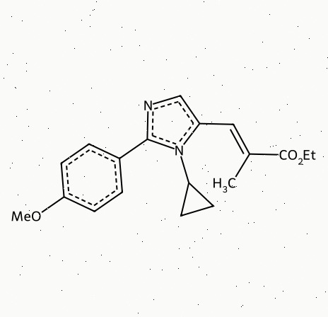 CCOC(=O)C(C)=Cc1cnc(-c2ccc(OC)cc2)n1C1CC1